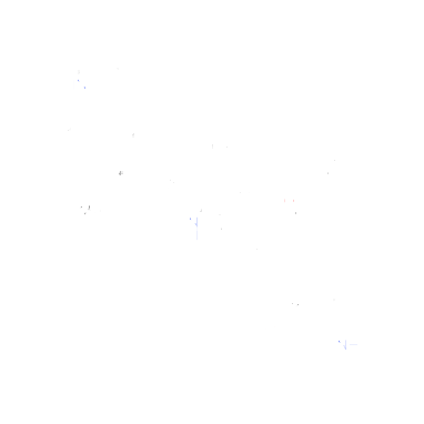 CO[C@@H](C(=O)N[C@@H](CCC(=O)C=N)C(=O)OC(C)C)c1cc[nH]c1